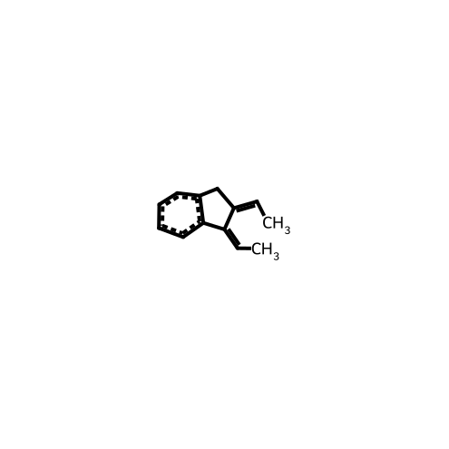 C/C=C1/Cc2ccccc2/C1=C/C